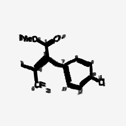 COC(=O)/C(=C(\C)C(F)(F)F)c1ccc(Cl)cc1